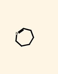 [CH]1CCCC=NC1